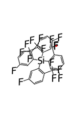 Fc1ccc(C(F)(F)F)c([Si](c2cc(F)ccc2C(F)(F)F)(c2cc(F)ccc2C(F)(F)F)c2cc(F)ccc2C(F)(F)F)c1